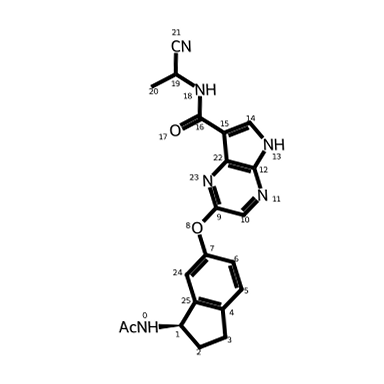 CC(=O)N[C@@H]1CCc2ccc(Oc3cnc4[nH]cc(C(=O)NC(C)C#N)c4n3)cc21